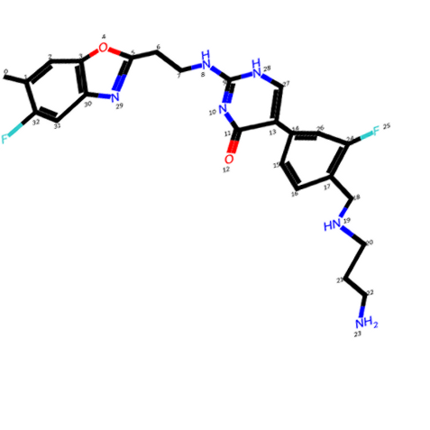 Cc1cc2oc(CCNc3nc(=O)c(-c4ccc(CNCCCN)c(F)c4)c[nH]3)nc2cc1F